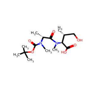 C[C@H](CO)[C@@H](C(=O)O)N(C)C(=O)[C@@H](C)N(C)C(=O)OC(C)(C)C